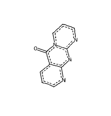 O=c1c2cccnc2nc2ncccn12